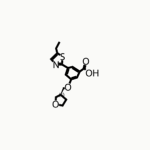 CCc1cnc(-c2cc(OC[C@H]3CCOC3)cc(C(=O)O)c2)s1